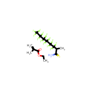 C=C(C)C(=O)OCC.CC(C(N)=S)C(F)(F)C(F)(F)C(F)(F)C(F)(F)C(F)(F)C(F)(F)F